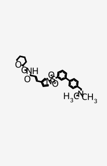 CN(C)Cc1ccc(-c2cccc(S(=O)(=O)n3ccc(C=CC(=O)NOC4CCCCO4)c3)c2)cc1